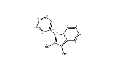 N#Cc1c(C#N)c2ccccn2c1-c1cccnc1